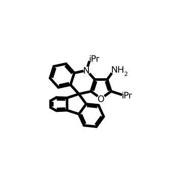 CC(C)c1oc2c(c1N)N(C(C)C)c1ccccc1C21c2ccccc2-c2ccccc21